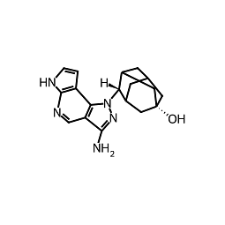 Nc1nn([C@H]2C3CC4CC2C[C@@](O)(C4)C3)c2c1cnc1[nH]ccc12